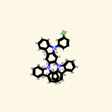 Brc1cccc(-n2c3ccccc3c3cc(-n4c5ccccc5c5ccccc54)c(-n4c5ccccc5c5ccccc54)cc32)c1